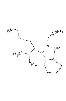 CCCCC(C(C)C)C1C2CCCCC2NN1CC